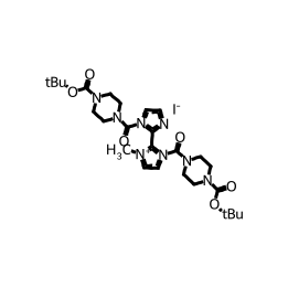 C[n+]1ccn(C(=O)N2CCN(C(=O)OC(C)(C)C)CC2)c1-c1nccn1C(=O)N1CCN(C(=O)OC(C)(C)C)CC1.[I-]